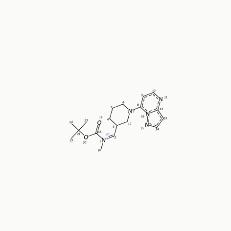 C/[N+](=C/C1CCCN(c2ccnc3ccnn23)C1)C(=O)OC(C)(C)C